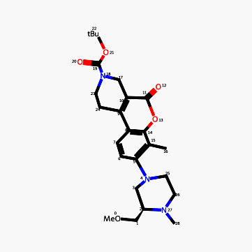 COC[C@H]1CN(c2ccc3c4c(c(=O)oc3c2C)CN(C(=O)OC(C)(C)C)CC4)CCN1C